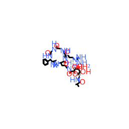 CC(C)C(=O)NC[C@H]1OC(C(=O)NCCCC2C(=O)N[C@@H](CCCNC(=N)N)C(=O)NCC(=O)NCC(=O)NC(c3ccccc3)c3cn2nn3)[C@@H](O)C(O)C1O